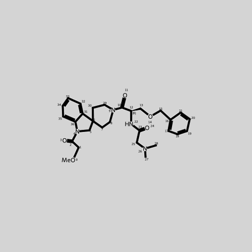 COCC(=O)N1CC2(CCN(C(=O)[C@@H](COCc3ccccc3)NC(=O)CN(C)C)CC2)c2ccccc21